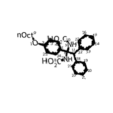 CCCCCCCCOc1ccc(C(NC(=O)O)(NC(=O)O)C(c2ccccc2)c2ccccc2)cc1